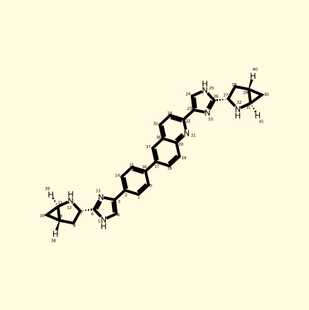 c1cc(-c2c[nH]c([C@@H]3C[C@@H]4C[C@H]4N3)n2)ccc1-c1ccc2nc(-c3c[nH]c([C@@H]4C[C@@H]5C[C@H]5N4)n3)ccc2c1